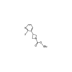 CC(C)(C)OC(=O)N1CC(c2cccnc2F)C1